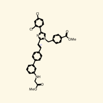 COC(=O)CNc1cccc(-c2ccc(/C=C/c3nc(-c4ccc(Cl)cc4Cl)cn3Cc3ccc(C(=O)OC)cc3)cc2)c1